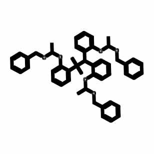 CC(OCc1ccccc1)Oc1ccccc1C(c1ccccc1OC(C)OCc1ccccc1)C(C)(C)c1ccccc1OC(C)OCc1ccccc1